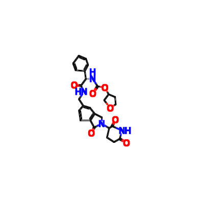 O=C1CCC(N2Cc3cc(CNC(=O)[C@@H](NC(=O)OC4CCOC4)c4ccccc4)ccc3C2=O)C(=O)N1